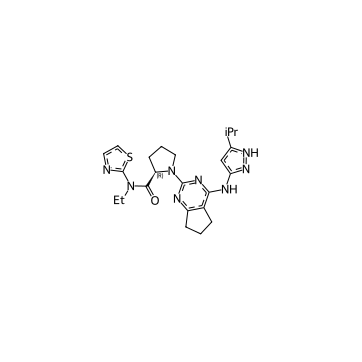 CCN(C(=O)[C@H]1CCCN1c1nc2c(c(Nc3cc(C(C)C)[nH]n3)n1)CCC2)c1nccs1